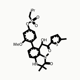 COc1cc(OS(=O)(=O)CC(C)C)ccc1-c1ccc2c(c1C(O)C(=O)c1ccc(C)s1)N(C)C(=O)C(C)(C)N2